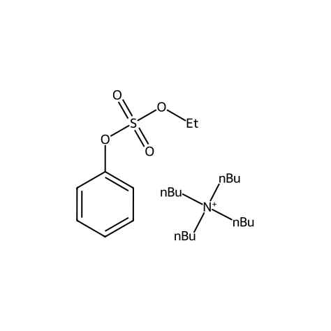 CCCC[N+](CCCC)(CCCC)CCCC.CCOS(=O)(=O)Oc1ccccc1